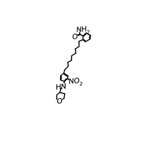 NC(=O)c1ccccc1CCCCCCCCCc1ccc(NCC2CCOCC2)c([N+](=O)[O-])c1